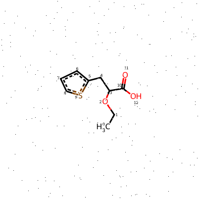 CCOC(Cc1cccs1)C(=O)O